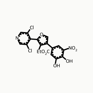 CCOC(=O)c1c(-c2cc(O)c(O)c([N+](=O)[O-])c2)coc1-c1c(Cl)cncc1Cl